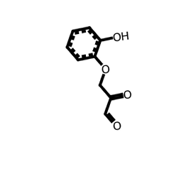 O=CC(=O)COc1ccccc1O